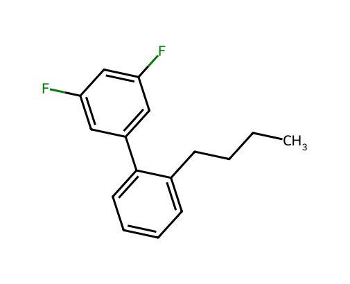 CCCCc1ccccc1-c1cc(F)cc(F)c1